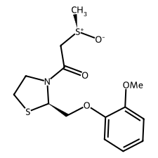 COc1ccccc1OC[C@H]1SCCN1C(=O)C[S@@+](C)[O-]